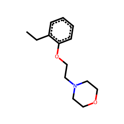 CCc1ccccc1OCCN1CCOCC1